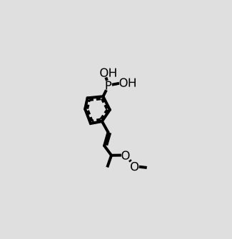 COOC(C)/C=C/c1cccc(P(O)O)c1